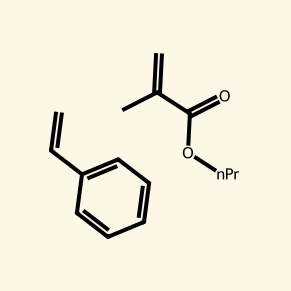 C=C(C)C(=O)OCCC.C=Cc1ccccc1